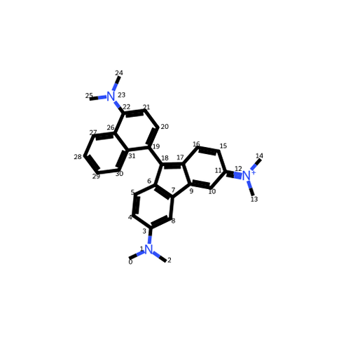 CN(C)c1ccc2c(c1)C1=CC(=[N+](C)C)C=CC1=C2c1ccc(N(C)C)c2ccccc12